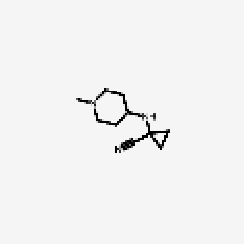 N#CC1(NC2CCN(I)CC2)CC1